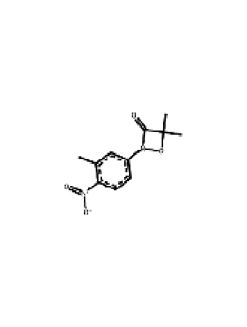 Cc1cc(N2OC(C)(C)C2=O)ccc1[N+](=O)[O-]